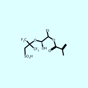 C=C(C)C(=O)OC(CC)[C@@H](O)OC(CS(=O)(=O)O)(C(F)(F)F)C(F)(F)F